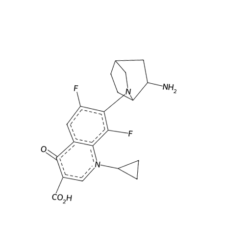 NC1CC2CCC1N(c1c(F)cc3c(=O)c(C(=O)O)cn(C4CC4)c3c1F)C2